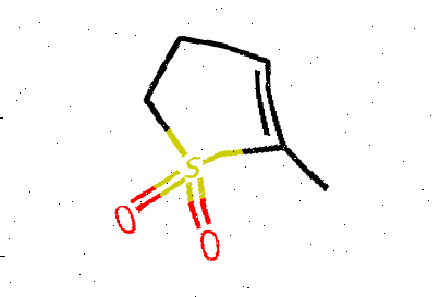 CC1=CCCS1(=O)=O